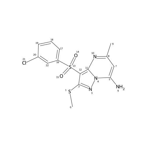 CSc1nn2c(N)cc(C)nc2c1S(=O)(=O)c1cccc(Cl)c1